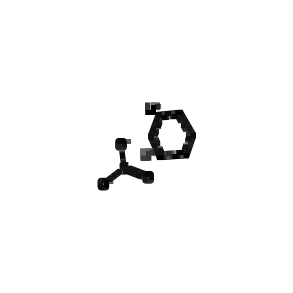 O=S([O-])[O-].[Li+].[Li+].c1ccccc1